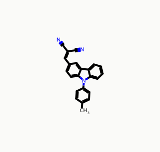 Cc1ccc(-n2c3ccccc3c3cc(C=C(C#N)C#N)ccc32)cc1